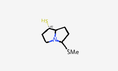 CSC1CCC2[C@@H](S)CCN12